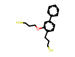 SCCCOc1cc(-c2ccccc2)ccc1CCCS